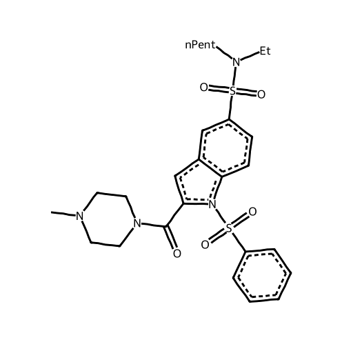 CCCCCN(CC)S(=O)(=O)c1ccc2c(c1)cc(C(=O)N1CCN(C)CC1)n2S(=O)(=O)c1ccccc1